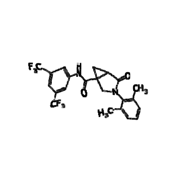 Cc1cccc(C)c1N1CC2(C(=O)Nc3cc(C(F)(F)F)cc(C(F)(F)F)c3)CC2C1=O